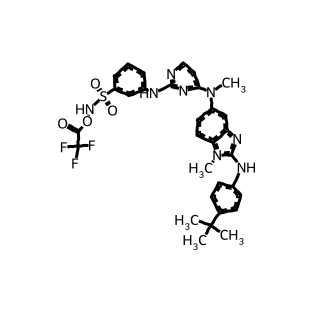 CN(c1ccc2c(c1)nc(Nc1ccc(C(C)(C)C)cc1)n2C)c1ccnc(Nc2cccc(S(=O)(=O)NOC(=O)C(F)(F)F)c2)n1